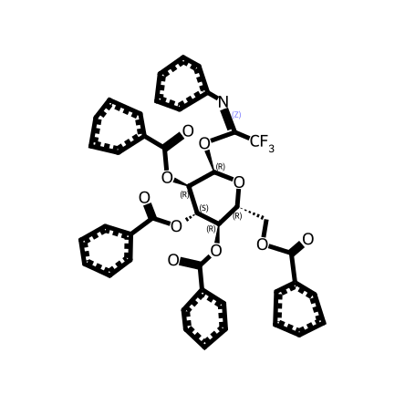 O=C(OC[C@H]1O[C@H](O/C(=N\c2ccccc2)C(F)(F)F)[C@H](OC(=O)c2ccccc2)[C@@H](OC(=O)c2ccccc2)[C@@H]1OC(=O)c1ccccc1)c1ccccc1